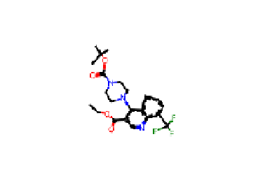 CCOC(=O)c1cnc2c(C(F)(F)F)cccc2c1N1CCN(C(=O)OC(C)(C)C)CC1